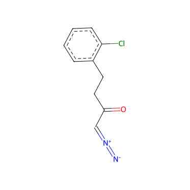 [N-]=[N+]=CC(=O)CCc1ccccc1Cl